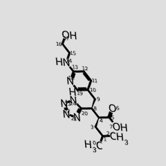 CC(C)C[C@H](C(=O)O)[C@H](Cc1ccc(NCCO)nc1)c1nnn[nH]1